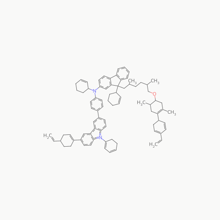 C=CC1=CCC(C2=C(C)CC(OCC(C)CCC(C)CC3(C4C=CCCC4)c4ccccc4-c4ccc(N(c5ccc(-c6ccc7c(c6)c6cc(C8=CCC(C=C)CC8)ccc6n7C6=CC=CCC6)cc5)C5C=CCCC5)cc43)C(C)C2)C=C1